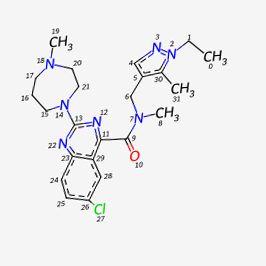 CCn1ncc(CN(C)C(=O)c2nc(N3CCCN(C)CC3)nc3ccc(Cl)cc23)c1C